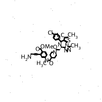 COC(=O)c1ccc(N(C)C(=O)C2CCN(C(=O)C[C@@H]3N=C(c4ccc(Cl)cc4)c4c(sc(C)c4C)-n4c(C)nnc43)CC2)cc1C#CCN